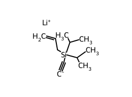 [C-]#C[Si](CC=C)(C(C)C)C(C)C.[Li+]